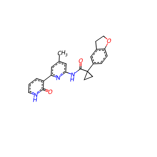 Cc1cc(NC(=O)C2(c3ccc4c(c3)CCO4)CC2)nc(-c2ccc[nH]c2=O)c1